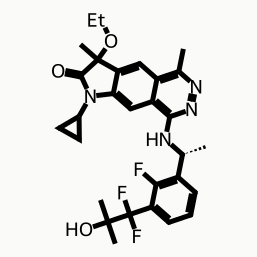 CCOC1(C)C(=O)N(C2CC2)c2cc3c(N[C@H](C)c4cccc(C(F)(F)C(C)(C)O)c4F)nnc(C)c3cc21